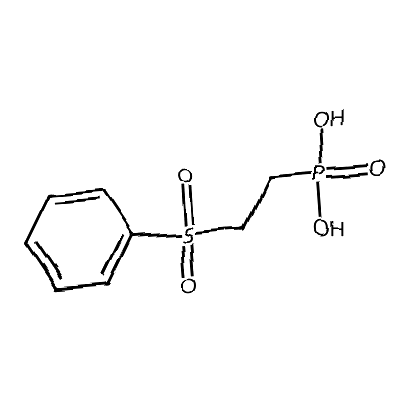 O=P(O)(O)CCS(=O)(=O)c1ccccc1